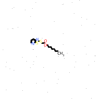 CCCCCCCCOC(=O)CSc1nc2cccnc2s1